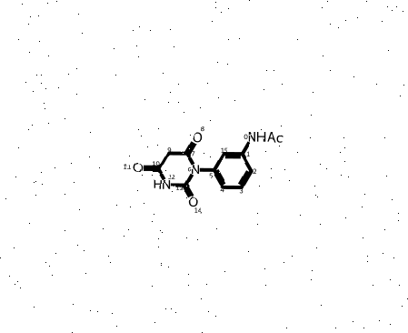 CC(=O)Nc1cccc(N2C(=O)CC(=O)NC2=O)c1